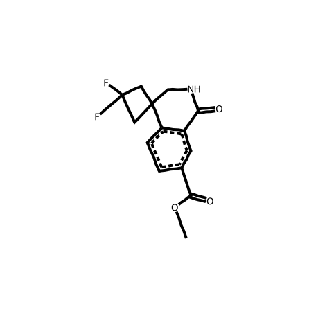 COC(=O)c1ccc2c(c1)C(=O)NCC21CC(F)(F)C1